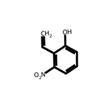 C=Cc1c(O)cccc1[N+](=O)[O-]